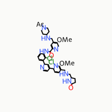 COc1cnc(C(=O)Nc2cccc(-c3nccc(-c4ccc(CNCC5CCC(=O)N5)c(OC)n4)c3Cl)c2Cl)cc1CNC1CCN(C(C)=O)CC1